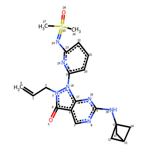 C=CCn1c(=O)c2cnc(NC34CC(C3)C4)nc2n1-c1cccc(N=S(C)(C)=O)n1